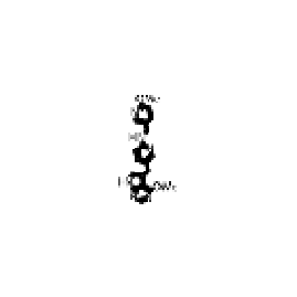 COc1ccc(CNc2ccc(CC3CNc4ncnc(OC)c43)cn2)cn1